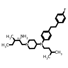 CCC(C)[C@H](N)CN1CCC(N(CCC(C)C)c2ccc(CCc3ccc(F)cc3)cc2)CC1